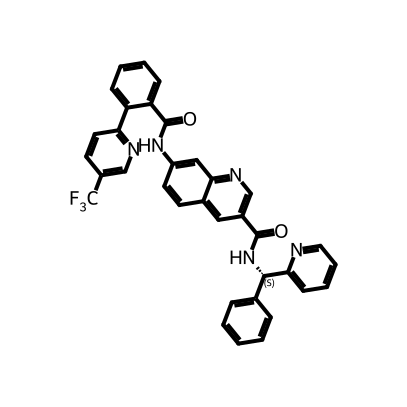 O=C(N[C@@H](c1ccccc1)c1ccccn1)c1cnc2cc(NC(=O)c3ccccc3-c3ccc(C(F)(F)F)cn3)ccc2c1